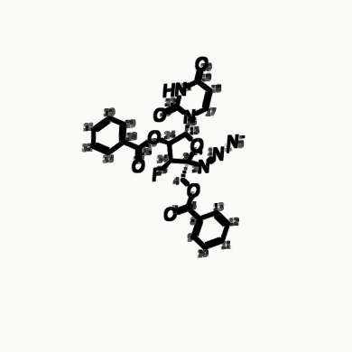 [N-]=[N+]=N[C@]1(COC(=O)c2ccccc2)O[C@@H](n2ccc(=O)[nH]c2=O)[C@H](OC(=O)c2ccccc2)[C@@H]1F